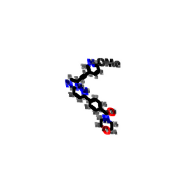 COc1ccc(C#Cc2cnc3ccc(-c4ccc(C(=O)N5CCOCC5)cc4)nn23)cn1